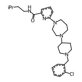 CC(C)CCNC(=O)c1cccc(N2CCCN(C3CCN(Cc4ccccc4Cl)CC3)CC2)n1